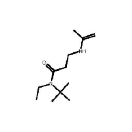 C=C(C)NCCC(=O)N(CC)C(C)(C)C